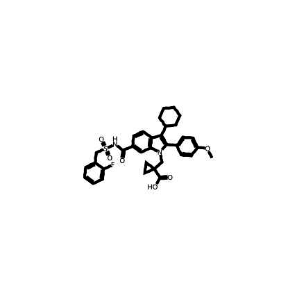 COc1ccc(-c2c(C3CCCCC3)c3ccc(C(=O)NS(=O)(=O)Cc4ccccc4F)cc3n2CC2(C(=O)O)CC2)cc1